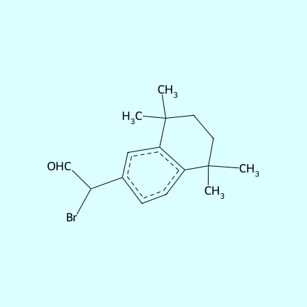 CC1(C)CCC(C)(C)c2cc(C(Br)C=O)ccc21